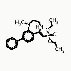 CCOP(=O)(/C=C1\NCCN(C)c2cc(-c3ccccc3)ccc21)OCC